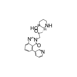 O=C(C[C@H]1NCCC[C@@H]1O)Cn1cnc2cccc(-c3cccnc3)c2c1=O